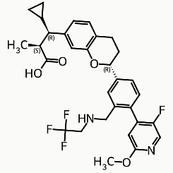 COc1cc(-c2ccc([C@H]3CCc4ccc([C@H](C5CC5)[C@H](C)C(=O)O)cc4O3)cc2CNCC(F)(F)F)c(F)cn1